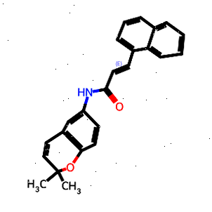 CC1(C)C=Cc2cc(NC(=O)/C=C/c3cccc4ccccc34)ccc2O1